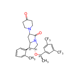 Cc1ccccc1[C@H]1C2CC(N3CCC(=O)CC3)C(=O)N2C[C@@H]1O[C@H](C)c1cc(C(F)(F)F)cc(C(F)(F)F)c1